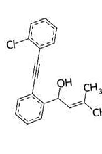 CC(C)=CC(O)c1ccccc1C#Cc1ccccc1Cl